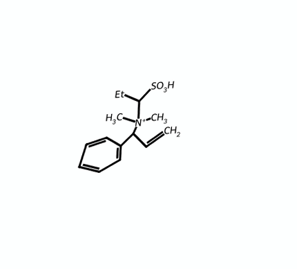 C=CC(c1ccccc1)[N+](C)(C)C(CC)S(=O)(=O)O